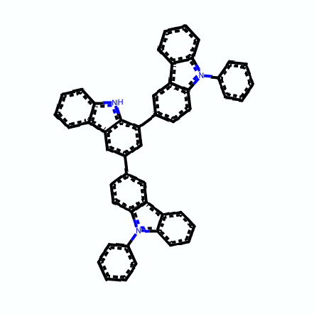 c1ccc(-n2c3ccccc3c3cc(-c4cc(-c5ccc6c(c5)c5ccccc5n6-c5ccccc5)c5[nH]c6ccccc6c5c4)ccc32)cc1